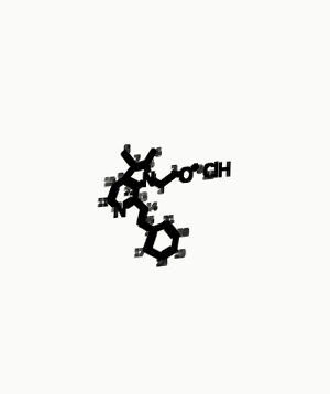 COCCn1c(C)c(C)c2ccnc(C=Cc3ccccc3)c21.Cl